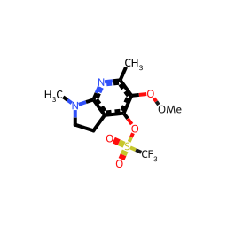 COOc1c(C)nc2c(c1OS(=O)(=O)C(F)(F)F)CCN2C